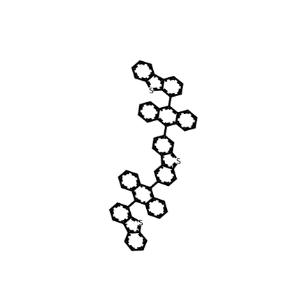 c1ccc2c(c1)sc1c(-c3c4ccccc4c(-c4ccc5c(c4)sc4ccc(-c6c7ccccc7c(-c7cccc8c7sc7ccccc78)c7ccccc67)cc45)c4ccccc34)cccc12